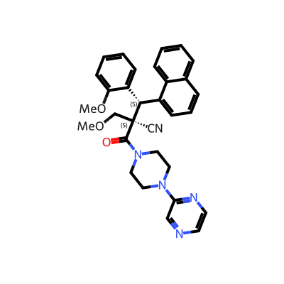 COC[C@](C#N)(C(=O)N1CCN(c2cnccn2)CC1)[C@H](c1ccccc1OC)c1cccc2ccccc12